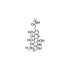 C[C@H]1c2ccc(CCC(=O)NC(C)(C)C)c(O)c2C(=O)C2=C(O)C3C(=O)C(C(N)=O)=C(O)[C@@H](N(C)C)C3[C@@H](O)C21